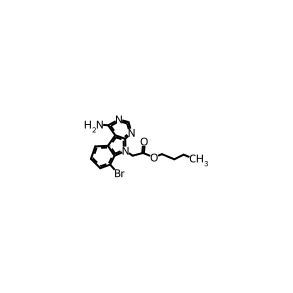 CCCCOC(=O)Cn1c2ncnc(N)c2c2cccc(Br)c21